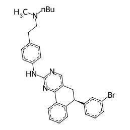 CCCCN(C)CCc1ccc(Nc2ncc3c(n2)-c2ccccc2[C@H](c2cccc(Br)c2)C3)cc1